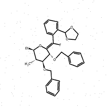 CC[C@H]1OC(=C(F)c2ccccc2C2OCCO2)[C@H](OCc2ccccc2)[C@@H](OCc2ccccc2)[C@@H]1C